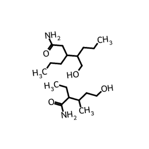 CCC(C(N)=O)C(C)CCO.CCCC(CO)C(CCC)CC(N)=O